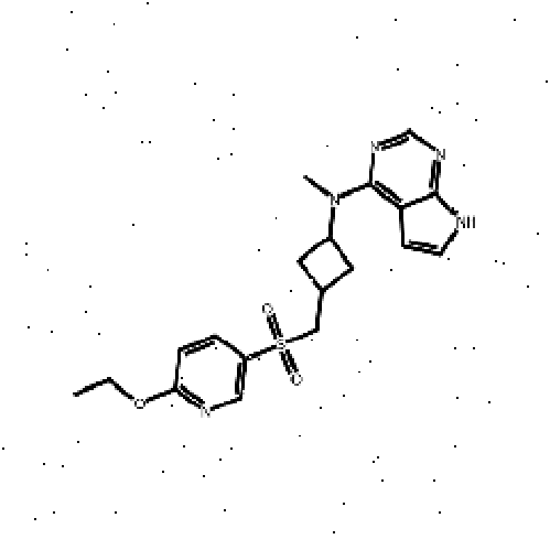 CCOc1ccc(S(=O)(=O)CC2CC(N(C)c3ncnc4[nH]ccc34)C2)cn1